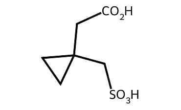 O=C(O)CC1(CS(=O)(=O)O)CC1